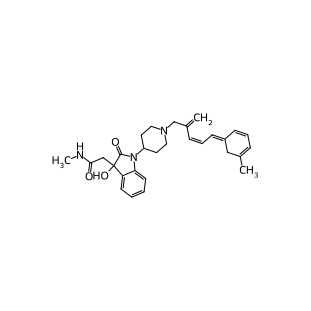 C=C(/C=C\C=C1\C=CC=C(C)C1)CN1CCC(N2C(=O)C(O)(CC(=O)NC)c3ccccc32)CC1